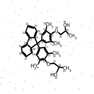 Cc1cc(C2(c3cc(C)c(OCC(C)O)c(C)c3)c3ccccc3-c3ccccc32)cc(C)c1OCC(C)O